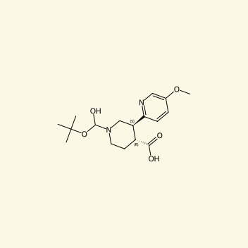 COc1ccc([C@@H]2CN(C(O)OC(C)(C)C)CC[C@H]2C(=O)O)nc1